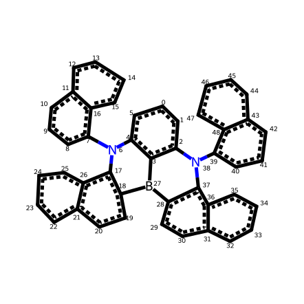 c1cc2c3c(c1)N(c1cccc4ccccc14)c1c(ccc4ccccc14)B3c1ccc3ccccc3c1N2c1cccc2ccccc12